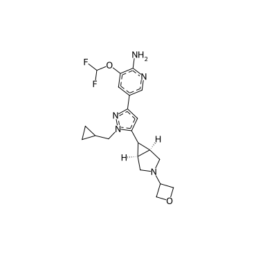 Nc1ncc(-c2cc(C3[C@H]4CN(C5COC5)C[C@@H]34)n(CC3CC3)n2)cc1OC(F)F